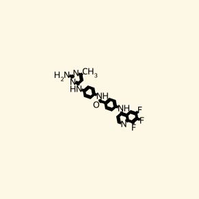 Cc1cc(Nc2ccc(NC(=O)c3ccc(Nc4ccnc5c(F)c(F)c(F)cc45)cc3)cc2)nc(N)n1